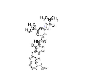 CC(C)Cc1cncc2cc(Cn3cccc(NC(=O)C(CC/C=C/C(=O)N(C)C)OC(=O)N(C)C)c3=O)[nH]c12